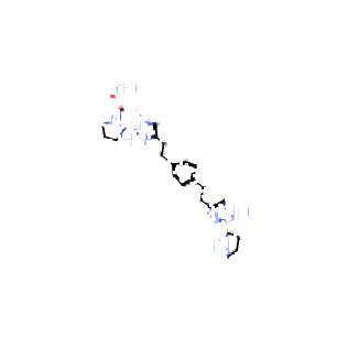 CC(C)(C)OC(=O)N1CCC[C@H]1c1ncc(CCc2ccc(CCc3c[nH]c([C@@H]4CCCN4)n3)cc2)[nH]1